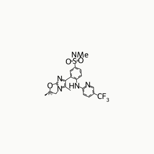 CNS(=O)(=O)c1ccc(Nc2ccc(C(F)(F)F)cn2)c(-c2nc3n(c2C)C[C@@H](C)O3)c1